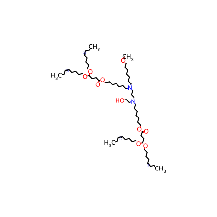 CC/C=C\CCCCOC(CCC(=O)OCCCCCCCN(CCO)CCCN(CCCCCCCOC)CCCCCCCOC(=O)CCC(OCCCC/C=C\CC)OCCCC/C=C\CC)OCCCC/C=C\CC